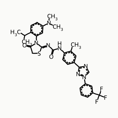 Cc1cc(-c2ncn(-c3cccc(C(F)(F)F)c3)n2)ccc1NC(=O)/N=C1\SCC(=O)N1c1cc(N(C)C)ccc1C(C)C